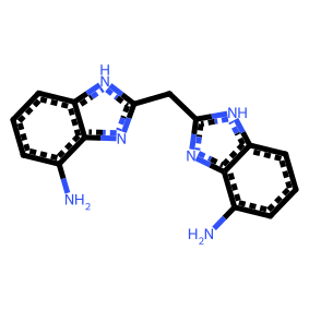 Nc1cccc2[nH]c(Cc3nc4c(N)cccc4[nH]3)nc12